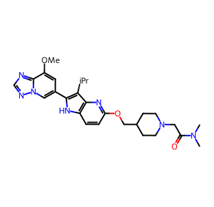 COc1cc(-c2[nH]c3ccc(OCC4CCN(CC(=O)N(C)C)CC4)nc3c2C(C)C)cn2ncnc12